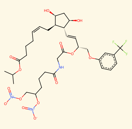 CC(C)OC(=O)CCC/C=C\C[C@@H]1[C@@H](/C=C/[C@H](COc2cccc(C(F)(F)F)c2)OC(=O)CNC(=O)CCCC(CO[N+](=O)[O-])O[N+](=O)[O-])[C@H](O)C[C@@H]1O